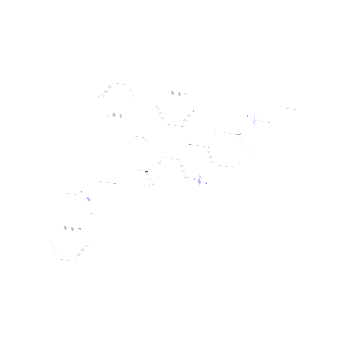 CCCNC(=O)OC1=C(C)NC(C)=C(OC(=O)OCCN(C)Cc2ccccc2)C1c1ccccc1OCc1ccccc1